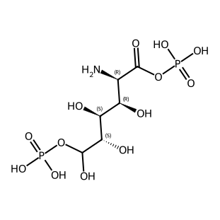 N[C@@H](C(=O)OP(=O)(O)O)[C@@H](O)[C@H](O)[C@H](O)C(O)OP(=O)(O)O